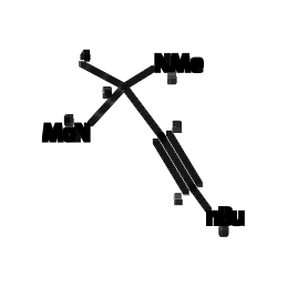 [CH2]CCCC#CC(C)(NC)NC